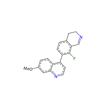 COc1ccc2c(-c3ccc4c(c3F)C=NCC4)ccnc2c1